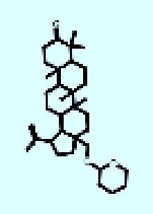 C=C(C)C1CCC2(COC3CCCCO3)CCC3(C)C(CCC4C5(C)CCC(=O)C(C)(C)C5CCC43C)C12